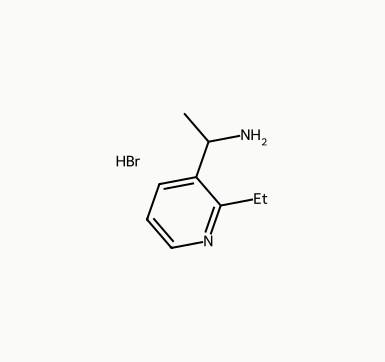 Br.CCc1ncccc1C(C)N